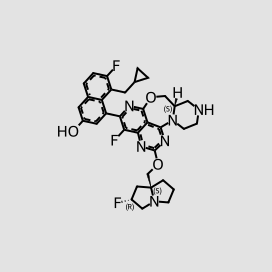 Oc1cc(-c2nc3c4c(nc(OC[C@@]56CCCN5C[C@H](F)C6)nc4c2F)N2CCNC[C@H]2CO3)c2c(CC3CC3)c(F)ccc2c1